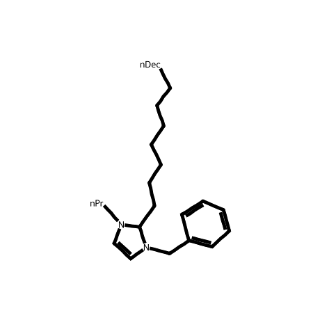 CCCCCCCCCCCCCCCCCC1N(CCC)C=CN1Cc1ccccc1